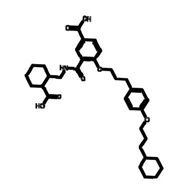 O=C(O)c1ccc(OCCCc2ccc(OCCCC3CCCCC3)cc2)c(C(=O)NCC2CCCCC2C(=O)O)c1